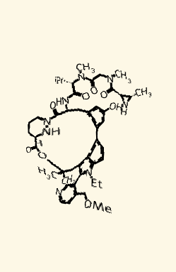 CCn1c(-c2cnccc2COC)c2c3cc(ccc31)-c1cc(O)cc(c1)C[C@H](NC(=O)[C@H](C(C)C)N(C)C(=O)CN(C)C(=O)[C@@H]1N[C@H]1C)C(=O)N1CCC[C@H](N1)C(=O)OCC(C)(C)C2